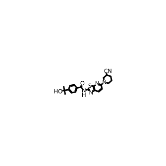 CC(C)(O)c1ccc(C(=O)Nc2nc3ccc(N4CCCC(C#N)C4)nc3s2)cc1